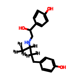 [2H]C([2H])([2H])C([2H])(NCC(O)c1ccc(O)cc1)C([2H])([2H])Cc1ccc(O)cc1